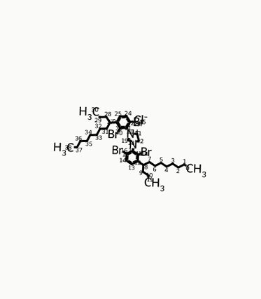 CCCCCCCCC(CCC)c1ccc(Br)c(N2C=[N+](c3c(Br)ccc(C(CCC)CCCCCCCC)c3Br)CC2)c1Br.[Cl-]